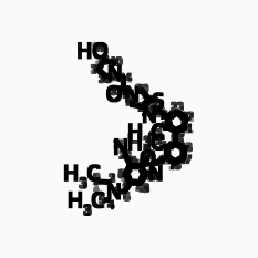 CCCN(CC)Cc1cc(C#N)c2oc(-c3cccc(-c4cccc(-c5nc6c(s5)CN(C(=O)CN5CC[C@@H](O)C5)C6)c4C)c3C)nc2c1